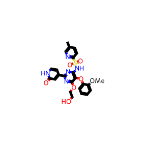 COc1ccccc1Oc1c(NS(=O)(=O)c2ccc(C)cn2)nc(-c2cc[nH]c(=O)c2)nc1OCCO